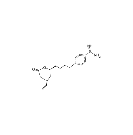 C=C[C@H]1CC(=O)O[C@@H](CCCCc2ccc(C(=N)N)cc2)C1